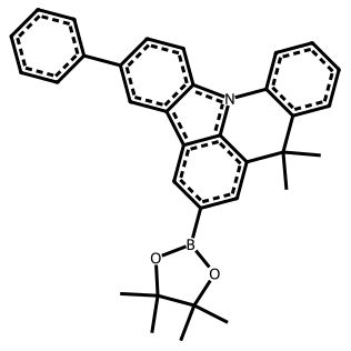 CC1(C)c2ccccc2-n2c3ccc(-c4ccccc4)cc3c3cc(B4OC(C)(C)C(C)(C)O4)cc1c32